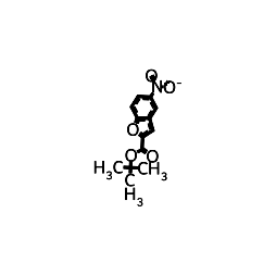 CC(C)(C)OC(=O)c1cc2cc([N+](=O)[O-])ccc2o1